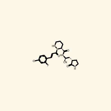 N#C[C@H](C[C@@H]1CCNC1=O)NC(=O)[C@@H]1CCCNN1C(=O)/C=C/c1ccc(Cl)cc1F